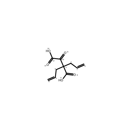 C=CCC(CC=C)(C(=O)O)C(=O)C(=O)O